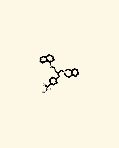 O=C(NO)c1ccc(C=C(CCOc2cccc3ccccc23)CN2CCc3ccccc3C2)cc1